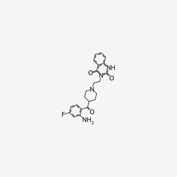 Nc1cc(F)ccc1C(=O)C1CCN(CCn2c(=O)[nH]c3ccccc3c2=O)CC1